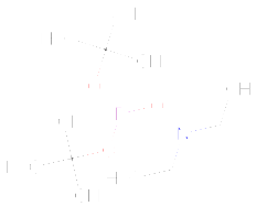 CCN(CC)OP(OC(C)(C)C)OC(C)(C)C